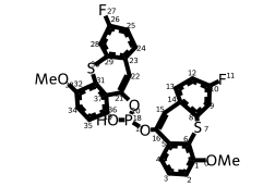 COc1cccc2c1Sc1cc(F)ccc1C=C2OP(O)OC1=Cc2ccc(F)cc2Sc2c(OC)cccc21